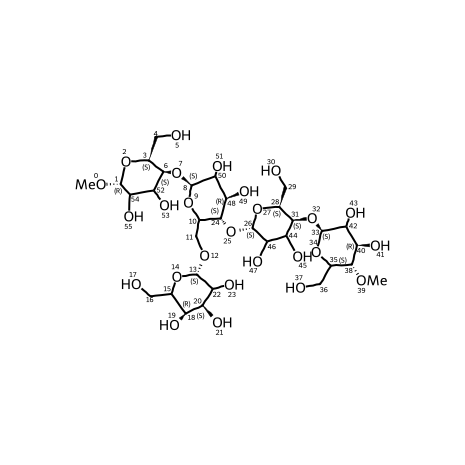 CO[C@@H]1O[C@@H](CO)[C@@H](O[C@@H]2OC(CO[C@H]3OC(CO)[C@H](O)[C@H](O)C3O)[C@@H](O[C@@H]3O[C@@H](CO)[C@@H](O[C@@H]4OC(CO)[C@@H](OC)[C@H](O)C4O)C(O)C3O)[C@H](O)C2O)C(O)C1O